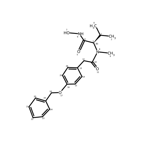 CC(C)[C@H](C(=O)NO)N(C)C(=O)Cc1ccc(OCc2ccccc2)cc1